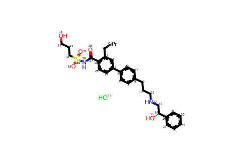 CC(C)Cc1cc(-c2ccc(CCCNC[C@@H](O)c3ccccc3)cc2)ccc1C(=O)NS(=O)(=O)CCCO.Cl